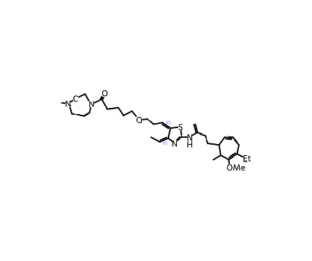 C=C(CCC1C=CCC(CC)=C(OC)C1C)Nc1nc(=C/C)/c(=C\CCOCCCCC(=O)N2CCCN(C)CC2)s1